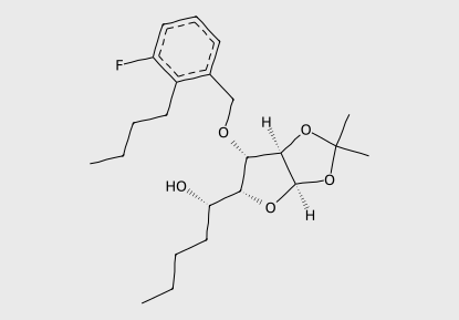 CCCCc1c(F)cccc1CO[C@@H]1[C@H]2OC(C)(C)O[C@H]2O[C@@H]1[C@@H](O)CCCC